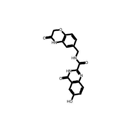 O=C1COc2ccc(CNC(=O)c3nc4ccc(O)cc4c(=O)[nH]3)cc2N1